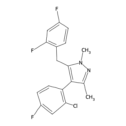 Cc1nn(C)c(Cc2ccc(F)cc2F)c1-c1ccc(F)cc1Cl